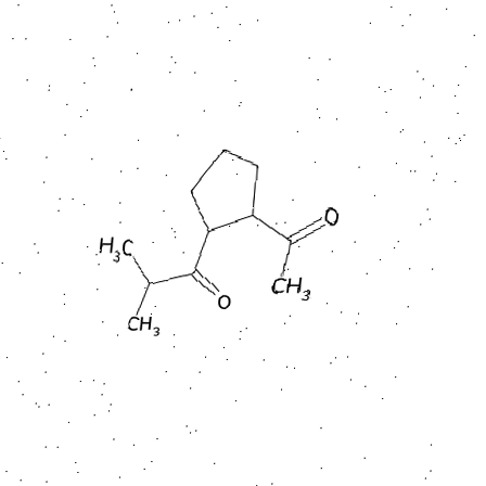 CC(=O)C1CCCC1C(=O)C(C)C